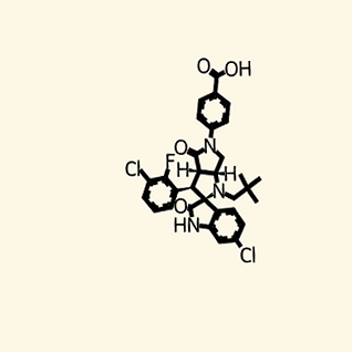 CC(C)(C)CN1[C@H]2CN(c3ccc(C(=O)O)cc3)C(=O)[C@H]2[C@H](c2cccc(Cl)c2F)[C@]12C(=O)Nc1cc(Cl)ccc12